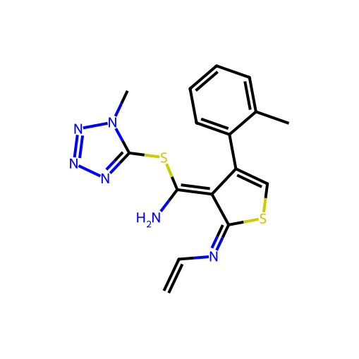 C=C/N=C1/SC=C(c2ccccc2C)/C1=C(/N)Sc1nnnn1C